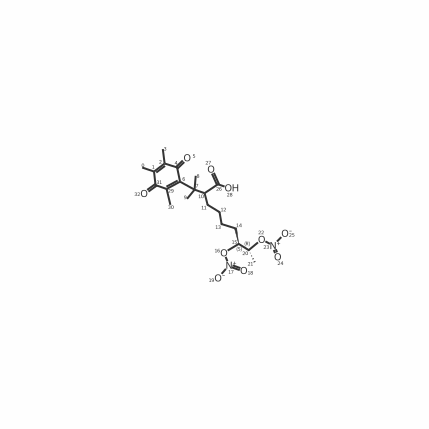 CC1=C(C)C(=O)C(C(C)(C)C(CCCC[C@H](O[N+](=O)[O-])[C@@H](C)O[N+](=O)[O-])C(=O)O)=C(C)C1=O